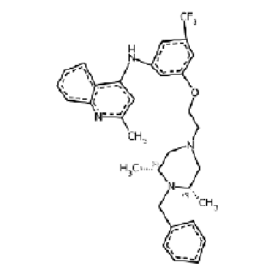 Cc1cc(Nc2cc(OCCN3C[C@@H](C)N(Cc4ccccc4)[C@@H](C)C3)cc(C(F)(F)F)c2)c2ccccc2n1